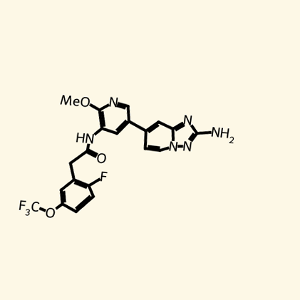 COc1ncc(-c2ccn3nc(N)nc3c2)cc1NC(=O)Cc1cc(OC(F)(F)F)ccc1F